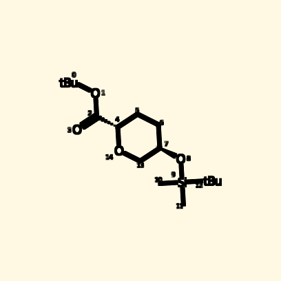 CC(C)(C)OC(=O)[C@@H]1CC[C@@H](O[Si](C)(C)C(C)(C)C)CO1